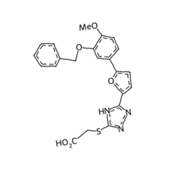 COc1ccc(-c2ccc(-c3nnc(SCC(=O)O)[nH]3)o2)cc1OCc1ccccc1